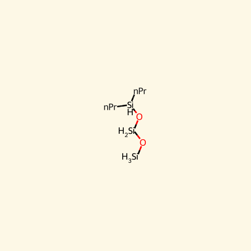 CCC[SiH](CCC)O[SiH2]O[SiH3]